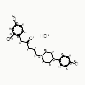 Cl.O=C(CCCN1CCC(c2ccc(Cl)cc2)CC1)Cc1ccc(Cl)cc1Cl